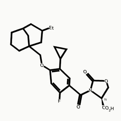 CCC1CC2CCCC(COc3cc(F)c(C(=O)N4C(=O)OC[C@H]4C(=O)O)cc3C3CC3)(C1)C2